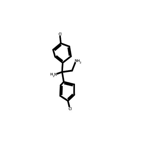 NCC(N)(c1ccc(Cl)cc1)c1ccc(Cl)cc1